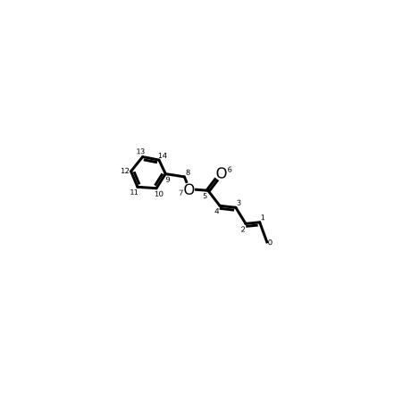 CC=CC=CC(=O)OCc1ccccc1